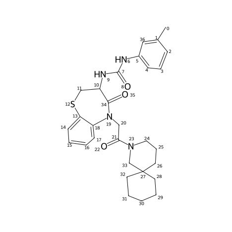 Cc1cccc(NC(=O)NC2CSc3ccccc3N(CC(=O)N3CCCC4(CCCCC4)C3)C2=O)c1